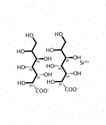 O=C([O-])[C@H](O)[C@@H](O)[C@H](O)[C@H](O)C(O)CO.O=C([O-])[C@H](O)[C@@H](O)[C@H](O)[C@H](O)C(O)CO.[Sr+2]